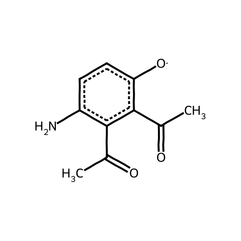 CC(=O)c1c(N)ccc([O])c1C(C)=O